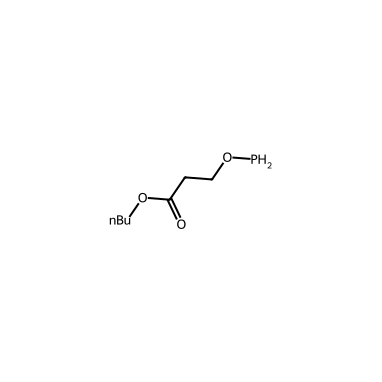 CCCCOC(=O)CCOP